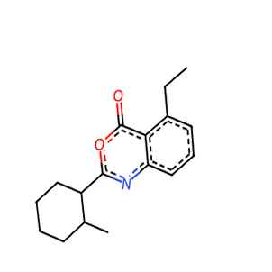 CCc1cccc2nc(C3CCCCC3C)oc(=O)c12